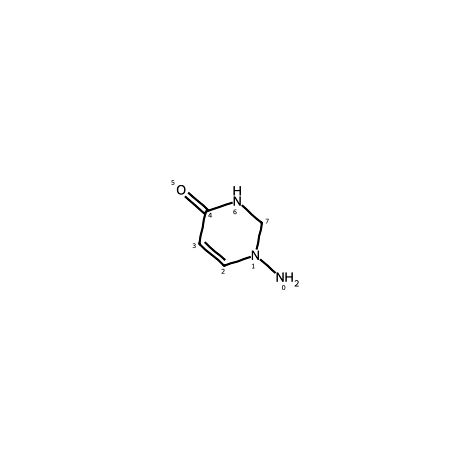 NN1C=CC(=O)NC1